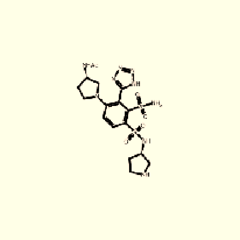 CC(=O)N[C@@H]1CCN(c2ccc(S(=O)(=O)N[C@@H]3CCNC3)c(S(N)(=O)=O)c2-c2nnn[nH]2)C1